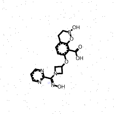 O=C(O)c1c(OC2CN(/C(=N\O)c3ncccn3)C2)ccc2c1OB(O)CC2